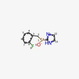 [O-][S+](Cc1ccccc1F)c1ncc[nH]1